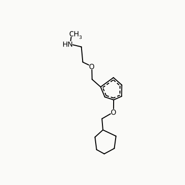 CNCCOCc1cccc(OCC2CCCCC2)c1